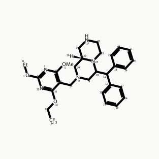 CCOc1nc(OC)c(CN2CC(C(c3ccccc3)c3ccccc3)N3CCNC[C@H]3C2)c(OCC(F)(F)F)n1